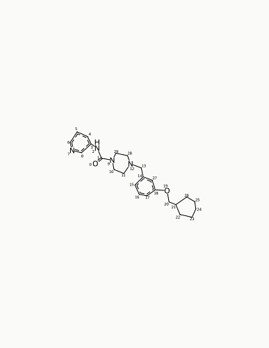 O=C(Nc1cccnc1)N1CCN(Cc2cccc(OCC3CCCCC3)c2)CC1